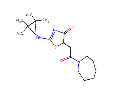 CC1(C)C(NC2=NC(=O)C(CC(=O)N3CCCCCC3)S2)C1(C)C